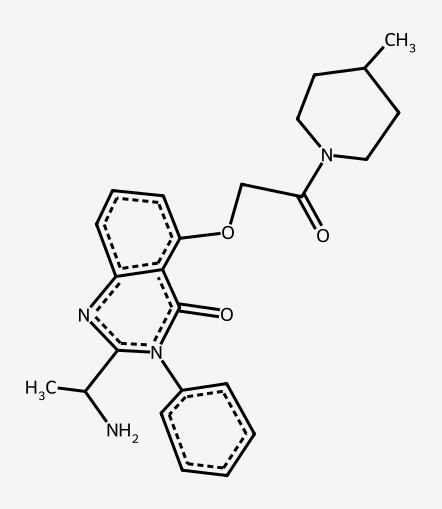 CC1CCN(C(=O)COc2cccc3nc(C(C)N)n(-c4ccccc4)c(=O)c23)CC1